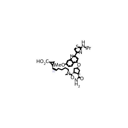 COc1ccc2c(O[C@@H]3C[C@@H](C(N)=O)[C@H](C(=O)N(C)CCCC/C=C\[C@@H]4C[C@@H]4C(=O)O)C3)cc(-c3csc(NC(C)C)n3)nc2c1